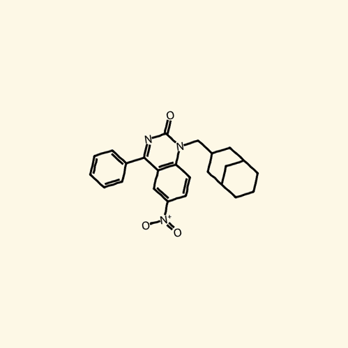 O=c1nc(-c2ccccc2)c2cc([N+](=O)[O-])ccc2n1CC1CC2CCCC(C2)C1